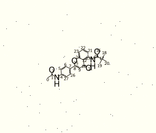 CC(=O)Nc1ccc(-c2cc(=O)c3c(NC(=O)C(C)(C)C)cccc3o2)cc1